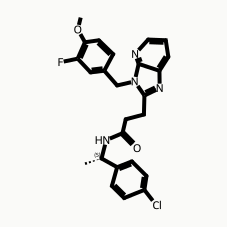 COc1ccc(Cn2c(CCC(=O)N[C@@H](C)c3ccc(Cl)cc3)nc3cccnc32)cc1F